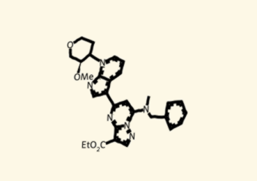 CCOC(=O)c1cnn2c(N(C)Cc3ccccc3)cc(-c3cnc4n(C5CCOC[C@@H]5OC)cccc3-4)nc12